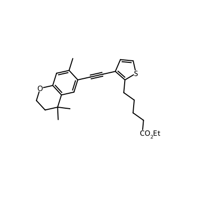 CCOC(=O)CCCCc1sccc1C#Cc1cc2c(cc1C)OCCC2(C)C